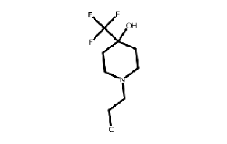 OC1(C(F)(F)F)CCN(CCCl)CC1